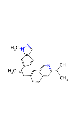 CC(C)c1cc2ccc(C[C@H](C)c3ccc4cnn(C)c4c3)cc2cn1